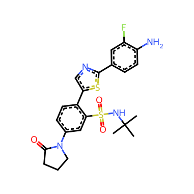 CC(C)(C)NS(=O)(=O)c1cc(N2CCCC2=O)ccc1-c1cnc(-c2ccc(N)c(F)c2)s1